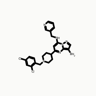 Bc1cnn2c(NCc3cccnc3)cc(C3CCN(Cc4ccc(Cl)cc4Cl)CC3)nc12